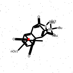 CCCCCCCCn1c(=O)c2ccc(c1=O)c1c3[c]([Sn]([CH2]CCC)([CH2]CCC)[CH2]CCC)cc(c(=O)n(CCCCCCCC)c3=O)c21